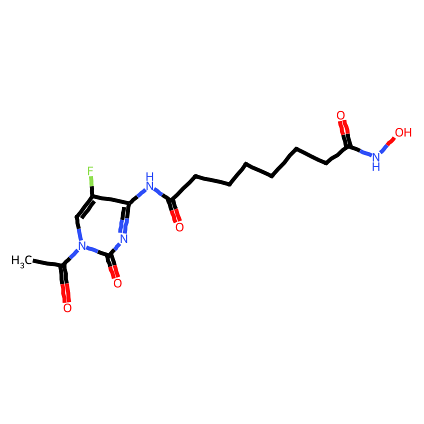 CC(=O)n1cc(F)c(NC(=O)CCCCCCC(=O)NO)nc1=O